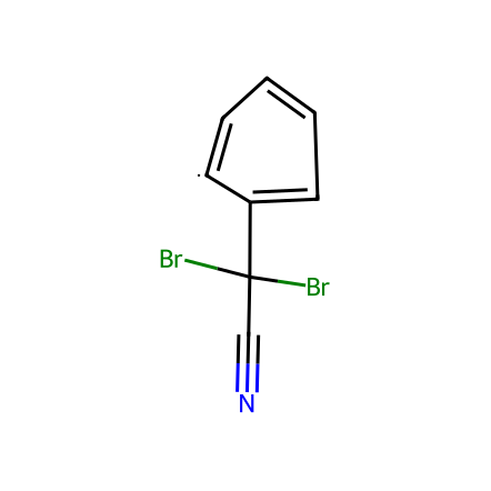 N#CC(Br)(Br)c1[c]cccc1